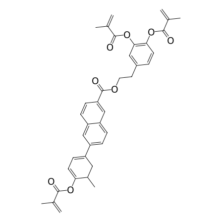 C=C(C)C(=O)OC1=CC=C(c2ccc3cc(C(=O)OCCc4ccc(OC(=O)C(=C)C)c(OC(=O)C(=C)C)c4)ccc3c2)CC1C